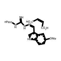 CCCCCNC(=N)N/N=C\c1c[nH]c2ccc(OC)cc12.O=C(O)/C=C\C(=O)O